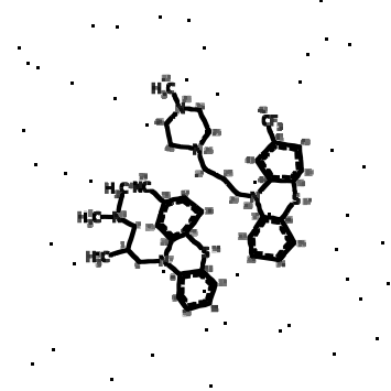 CC(CN(C)C)CN1c2ccccc2Sc2ccc(C#N)cc21.CN1CCN(CCCN2c3ccccc3Sc3ccc(C(F)(F)F)cc32)CC1